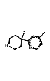 Cc1ccnc(C2(O)CCNCC2)c1